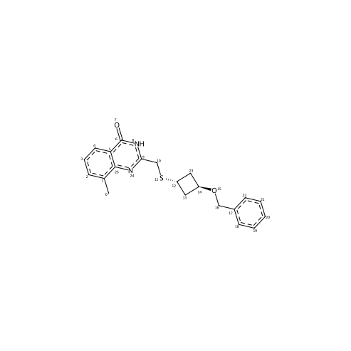 Cc1cccc2c(=O)[nH]c(CS[C@H]3C[C@H](OCc4ccccc4)C3)nc12